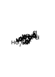 CN(C)C1CCN(c2ncc(Oc3cc(CN4CCC(CC(=O)O)CC4)cc(-c4cc(Cl)cc(Cl)c4)n3)cn2)CC1